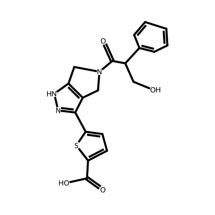 O=C(O)c1ccc(-c2n[nH]c3c2CN(C(=O)C(CO)c2ccccc2)C3)s1